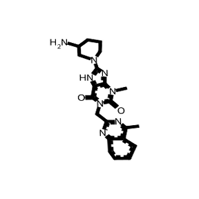 Cc1nc(Cn2c(=O)c3[nH]c(N4CCCC(N)C4)nc3n(C)c2=O)nc2ccccc12